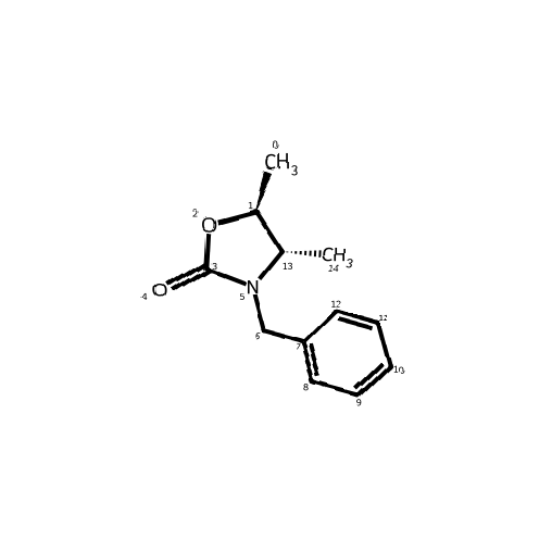 C[C@@H]1OC(=O)N(Cc2ccccc2)[C@H]1C